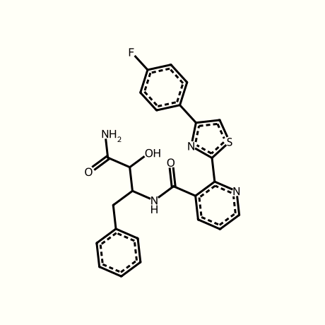 NC(=O)C(O)C(Cc1ccccc1)NC(=O)c1cccnc1-c1nc(-c2ccc(F)cc2)cs1